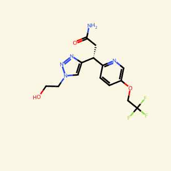 NC(=O)C[C@H](c1ccc(OCC(F)(F)F)cn1)c1cn(CCO)nn1